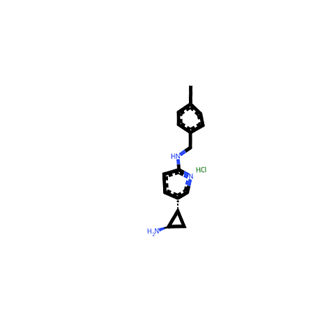 Cc1ccc(CNc2ccc([C@@H]3C[C@H]3N)cn2)cc1.Cl